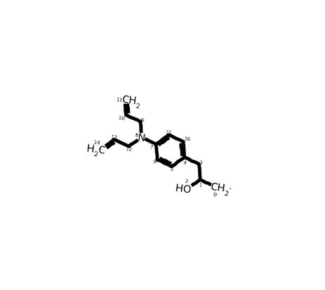 [CH2]C(O)Cc1ccc(N(CC=C)CC=C)cc1